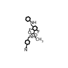 CCO[C@H](C(=O)NCc1ccc(C#N)cc1)c1c(F)ccc(CNc2ccccc2)c1F